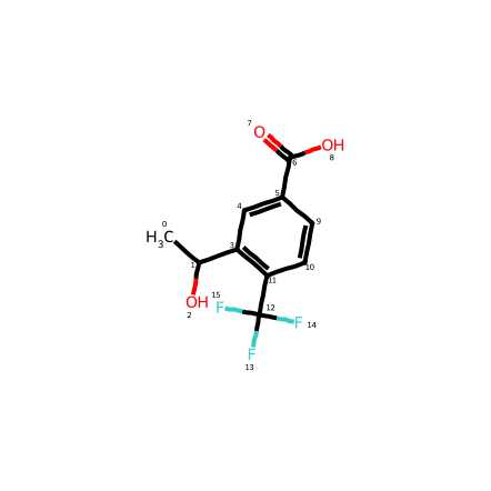 CC(O)c1cc(C(=O)O)ccc1C(F)(F)F